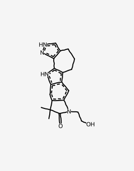 CC1(C)C(=O)N(CCO)c2cc3c4c([nH]c3cc21)-c1n[nH]cc1CCC4